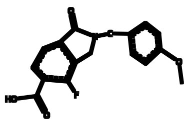 COc1ccc(CN2Cc3c(ccc(C(=O)O)c3F)C2=O)cc1